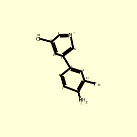 Nc1ccc(-c2cncc(Cl)c2)cc1F